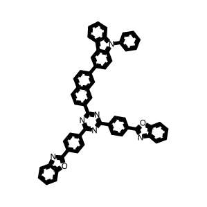 c1ccc(-n2c3ccccc3c3cc(-c4ccc5ccc(-c6nc(-c7ccc(-c8nc9ccccc9o8)cc7)nc(-c7ccc(-c8nc9ccccc9o8)cc7)n6)cc5c4)ccc32)cc1